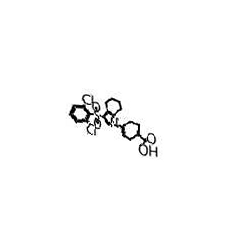 O=C(O)C1CC=C(n2cc(S(=O)(=O)c3c(Cl)cccc3Cl)c3c2CCCC3)CC1